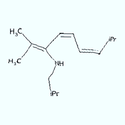 CC(C)=C(/C=C\C=C/C(C)C)NCC(C)C